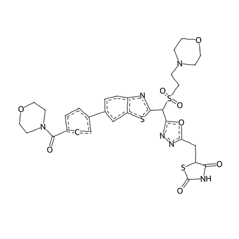 O=C1NC(=O)C(Cc2nnc(C(c3nc4ccc(-c5ccc(C(=O)N6CCOCC6)cc5)cc4s3)S(=O)(=O)CCN3CCOCC3)o2)S1